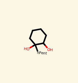 CCCCCC1(O)CCCCC1O